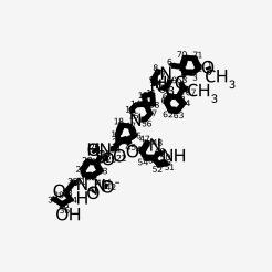 COc1ccc(CN2CCN(C3CC4(CCN(c5ccc(C(=O)NS(=O)(=O)c6ccc(NCC7CC(O)CO7)c([N+](=O)[O-])c6)c(Oc6cnc7[nH]ccc7c6)c5)CC4)C3)[C@H](c3ccccc3C(C)C)C2)cc1